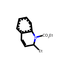 CCOC(=O)N1c2ccccc2C=CC1CC